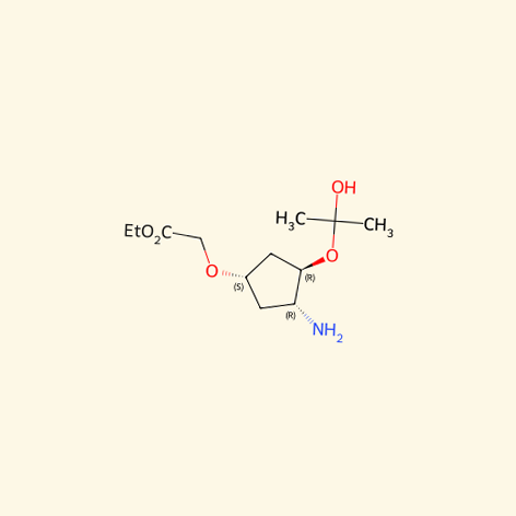 CCOC(=O)CO[C@H]1C[C@@H](N)[C@H](OC(C)(C)O)C1